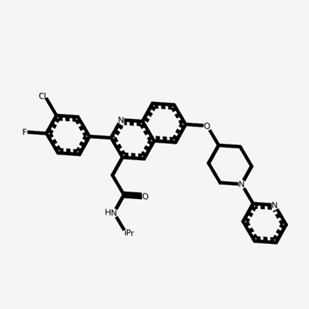 CC(C)NC(=O)Cc1cc2cc(OC3CCN(c4ccccn4)CC3)ccc2nc1-c1ccc(F)c(Cl)c1